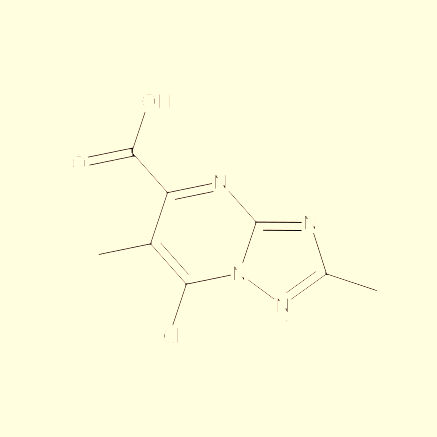 Cc1nc2nc(C(=O)O)c(C)c(Cl)n2n1